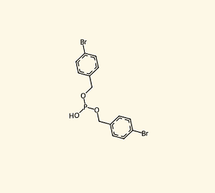 OP(OCc1ccc(Br)cc1)OCc1ccc(Br)cc1